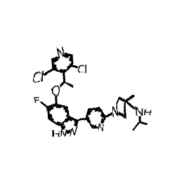 CC(C)NC1(C)CN(c2ccc(-c3n[nH]c4cc(F)c(O[C@H](C)c5c(Cl)cncc5Cl)cc34)cn2)C1